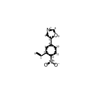 C=Cc1cc(-c2cnco2)ccc1[N+](=O)[O-]